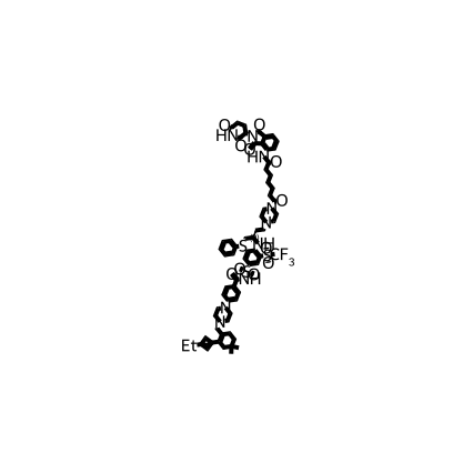 CCC12CC(C3=C(CN4CCN(c5ccc(C(=O)NS(=O)(=O)c6ccc(N[C@H](CCN7CCN(C(=O)CCCCCC(=O)Nc8cccc9c8C(=O)N(C8CCC(=O)NC8=O)C9=O)CC7)CSc7ccccc7)c(S(=O)(=O)C(F)(F)F)c6)cc5)CC4)CCC(C)(C)C3)(C1)C2